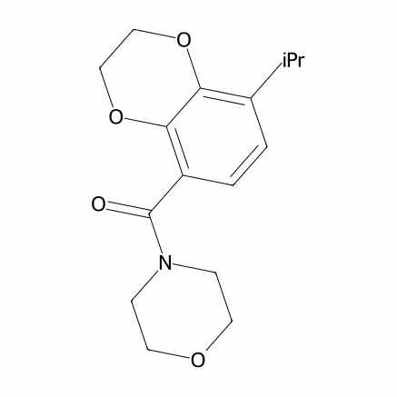 CC(C)c1ccc(C(=O)N2CCOCC2)c2c1OCCO2